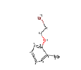 O=Nc1ccccc1OCCBr